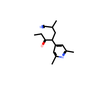 CCC(=O)C(CC(C)C#N)c1cc(C)nc(C)c1